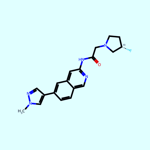 Cn1cc(-c2ccc3cnc(NC(=O)CN4CC[C@H](F)C4)cc3c2)cn1